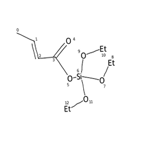 CC=CC(=O)O[Si](OCC)(OCC)OCC